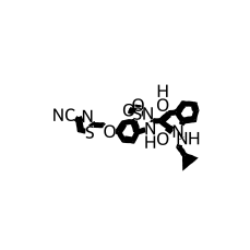 N#Cc1csc(COc2ccc3c(c2)S(=O)(=O)N=C(c2c(O)c4ccccc4n(NCC4CC4)c2=O)N3)n1